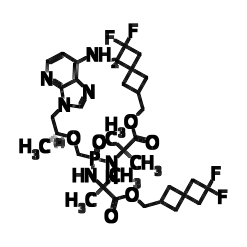 C[C@H](Cn1cnc2c(N)ccnc21)OCP(=O)(NC(C)(C)C(=O)OCC1CC2(C1)CC(F)(F)C2)NC(C)(C)C(=O)OCC1CC2(C1)CC(F)(F)C2